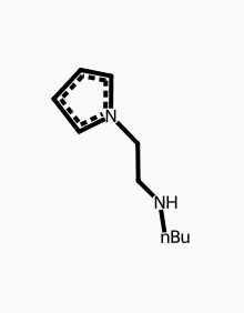 CCCCNCCn1cccc1